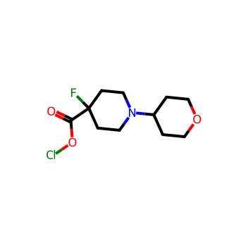 O=C(OCl)C1(F)CCN(C2CCOCC2)CC1